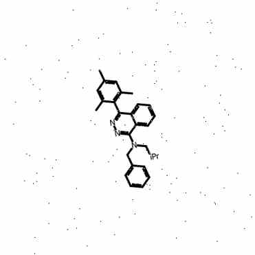 Cc1cc(C)c(-c2nnc(N(Cc3ccccc3)CC(C)C)c3ccccc23)c(C)c1